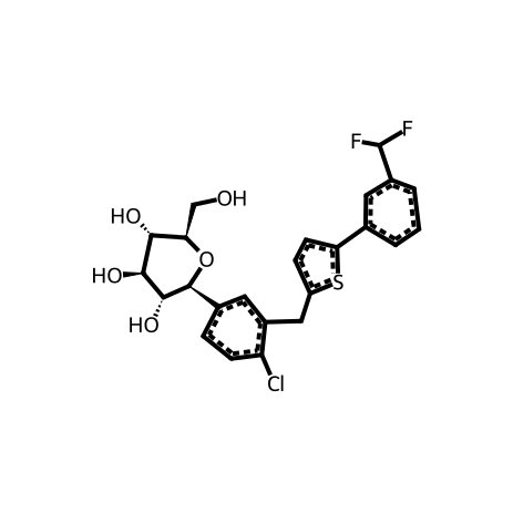 OC[C@H]1O[C@@H](c2ccc(Cl)c(Cc3ccc(-c4cccc(C(F)F)c4)s3)c2)[C@H](O)[C@@H](O)[C@@H]1O